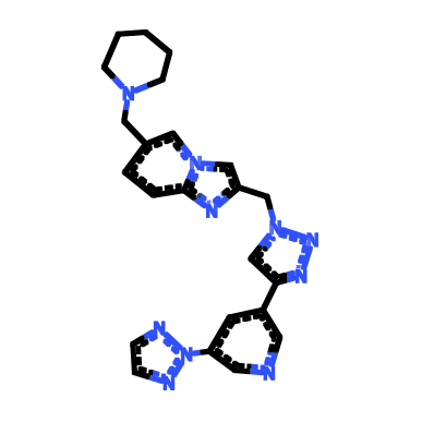 c1cnn(-c2cncc(-c3cn(Cc4cn5cc(CN6CCCCC6)ccc5n4)nn3)c2)n1